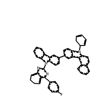 Fc1ccc(-c2nc(-n3c4ccccc4c4cc(-c5ccc6c(c5)c5c7ccccc7ccc5n6C5C=CC=CC5)ccc43)nc3c2=CCCC=3)cc1